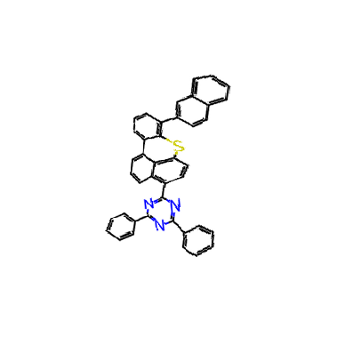 c1ccc(-c2nc(-c3ccccc3)nc(-c3ccc4c5c(cccc35)-c3cccc(-c5ccc6ccccc6c5)c3S4)n2)cc1